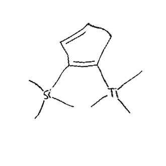 C[Si](C)(C)C1=[C]([Ti]([CH3])([CH3])[CH3])CC=C1